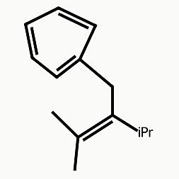 CC(C)=C(Cc1ccccc1)C(C)C